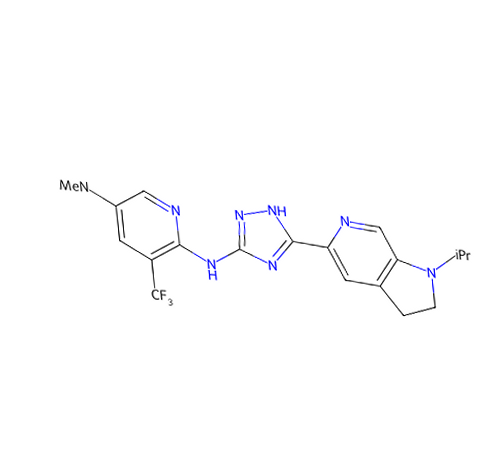 CNc1cnc(Nc2n[nH]c(-c3cc4c(cn3)N(C(C)C)CC4)n2)c(C(F)(F)F)c1